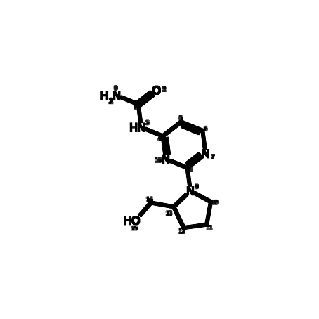 NC(=O)Nc1ccnc(N2CCCC2CO)n1